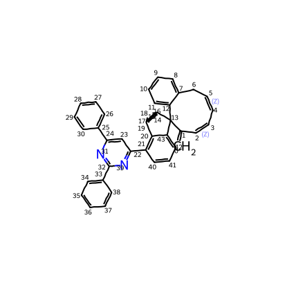 C=C1/C=C\C=C/Cc2ccccc2C12c1ccccc1-c1c(-c3cc(-c4ccccc4)nc(-c4ccccc4)n3)cccc12